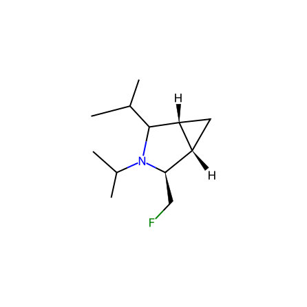 CC(C)C1[C@@H]2C[C@@H]2[C@@H](CF)N1C(C)C